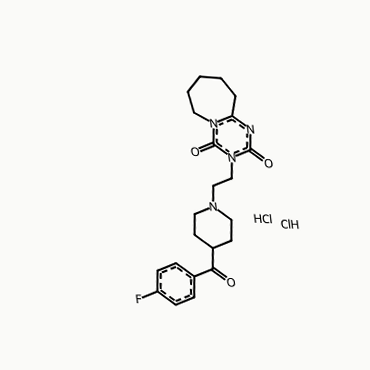 Cl.Cl.O=C(c1ccc(F)cc1)C1CCN(CCn2c(=O)nc3n(c2=O)CCCCC3)CC1